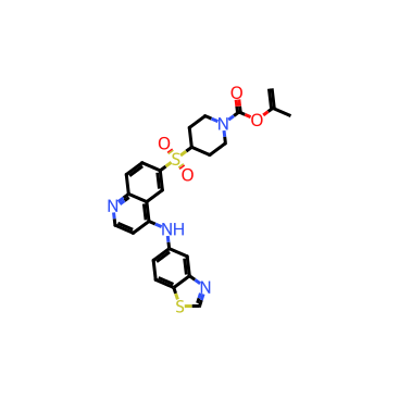 C=C(C)OC(=O)N1CCC(S(=O)(=O)c2ccc3nccc(Nc4ccc5scnc5c4)c3c2)CC1